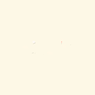 CCCCCCC(O)C/C=C\CCCCCCCC(=O)OCCCC.O=S(=O)(O)O